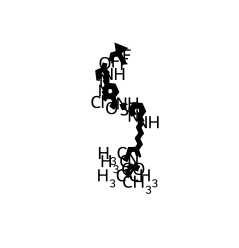 CC(C)(C)OC(=O)N1CC(CCCCNc2cccc(SNC(=O)c3ccc(N4C=CC(OCCC5(C(F)(F)F)CC5)N4)nc3Cl)n2)CC1(C)C